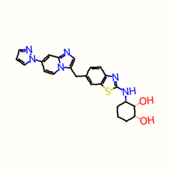 O[C@@H]1[C@H](O)CCC[C@H]1Nc1nc2ccc(Cc3cnc4cc(-n5cccn5)ccn34)cc2s1